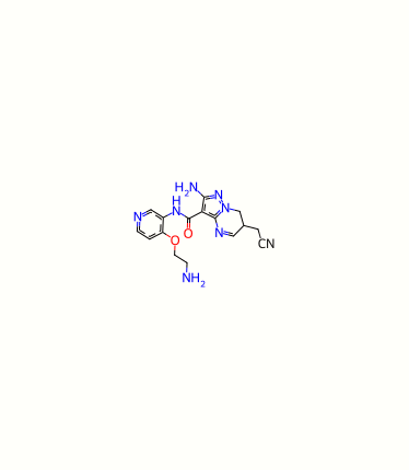 N#CCC1C=Nc2c(C(=O)Nc3cnccc3OCCN)c(N)nn2C1